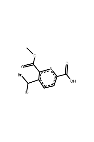 COC(=O)c1nc(C(=O)O)ccc1C(Br)Br